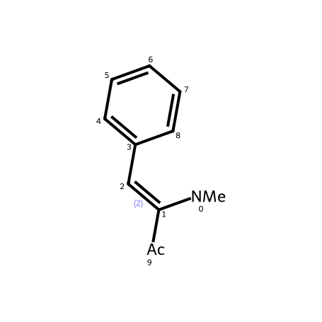 CN/C(=C\c1ccccc1)C(C)=O